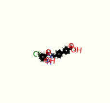 O=C(O)c1ccc(-c2ccc(CCNC(=O)c3cc(Cl)ccc3O)cc2)cc1